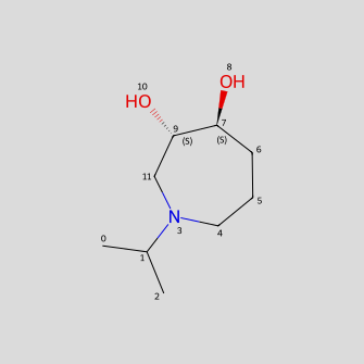 CC(C)N1CCC[C@H](O)[C@@H](O)C1